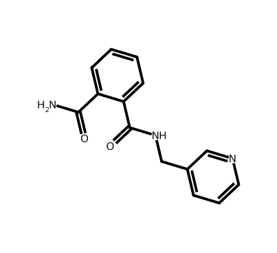 NC(=O)c1ccccc1C(=O)NCc1cccnc1